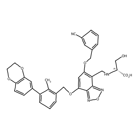 Cc1c(COc2cc(OCc3cccc(C#N)c3)c(CN[C@H](CO)C(=O)O)c3nonc23)cccc1-c1ccc2c(c1)OCCO2